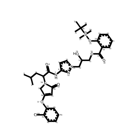 CC(C)CC(C(=O)Nc1ccn(CC(O)COC(=O)c2ccccc2O[Si](C)(C)C(C)(C)C)n1)N1CC(Oc2ccccc2Cl)=CC1=O